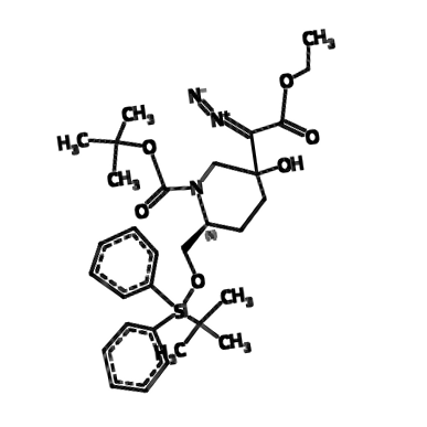 CCOC(=O)C(=[N+]=[N-])C1(O)CC[C@@H](CO[Si](c2ccccc2)(c2ccccc2)C(C)(C)C)N(C(=O)OC(C)(C)C)C1